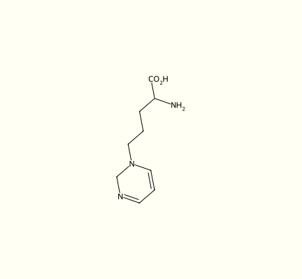 NC(CCCN1C=CC=NC1)C(=O)O